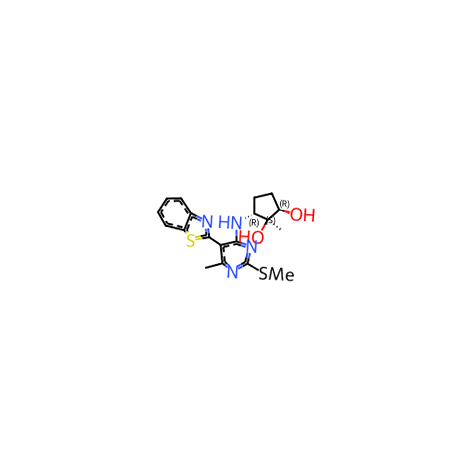 CSc1nc(C)c(-c2nc3ccccc3s2)c(N[C@@H]2CC[C@@H](O)[C@@]2(C)O)n1